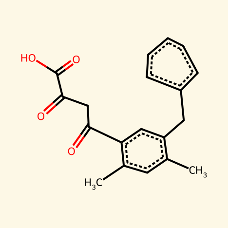 Cc1cc(C)c(C(=O)CC(=O)C(=O)O)cc1Cc1ccccc1